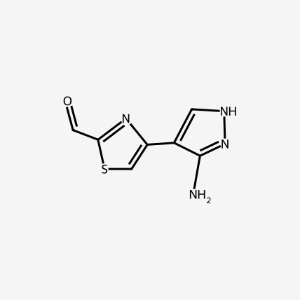 Nc1n[nH]cc1-c1csc(C=O)n1